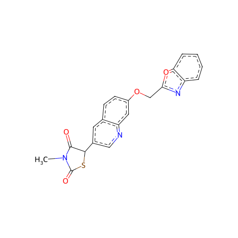 CN1C(=O)SC(c2cnc3cc(OCc4nc5ccccc5o4)ccc3c2)C1=O